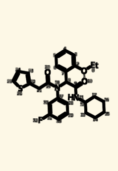 CCOc1ccccc1C(C(=O)NC1CCCCC1)N(C(=O)Cc1cccs1)c1cccc(F)c1